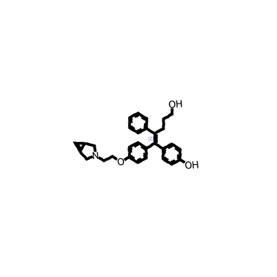 OCCC/C(=C(\c1ccc(O)cc1)c1ccc(OCCN2CC3=CC3C2)cc1)c1ccccc1